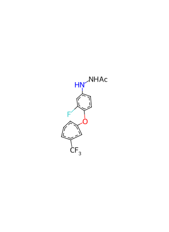 CC(=O)NNc1ccc(Oc2cccc(C(F)(F)F)c2)c(F)c1